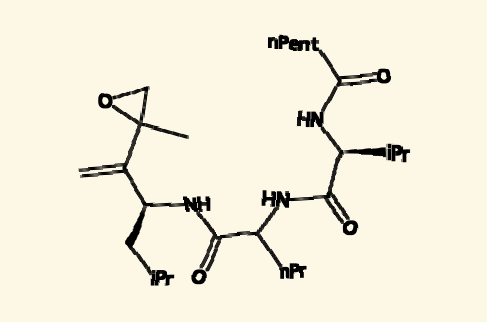 C=C([C@H](CC(C)C)NC(=O)C(CCC)NC(=O)[C@@H](NC(=O)CCCCC)C(C)C)C1(C)CO1